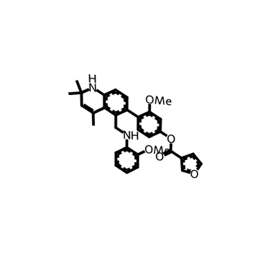 COc1ccccc1NCc1c(-c2ccc(OC(=O)c3ccoc3)cc2OC)ccc2c1C(C)=CC(C)(C)N2